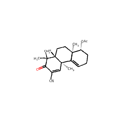 CC(=O)O[C@@H]1CCC=C2[C@@]3(C)C=C(C#N)C(=O)C(C)(C)[C@@H]3CC[C@]21C